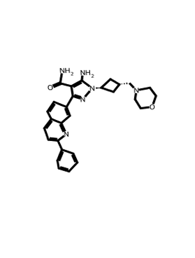 NC(=O)c1c(-c2ccc3ccc(-c4ccccc4)nc3c2)nn([C@H]2C[C@@H](CN3CCOCC3)C2)c1N